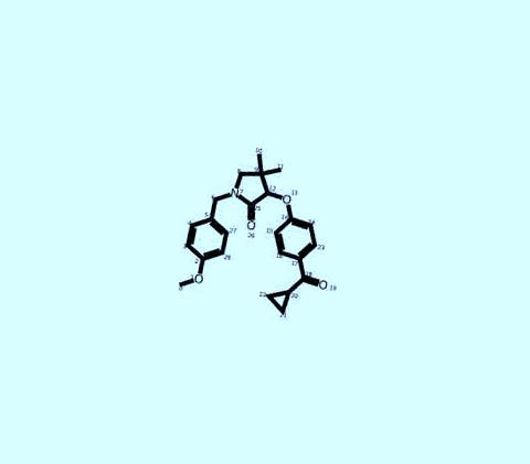 COc1ccc(CN2CC(C)(C)C(Oc3ccc(C(=O)C4CC4)cc3)C2=O)cc1